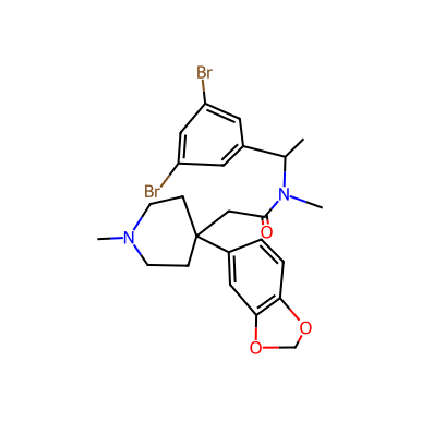 CC(c1cc(Br)cc(Br)c1)N(C)C(=O)CC1(c2ccc3c(c2)OCO3)CCN(C)CC1